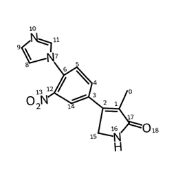 CC1=C(c2ccc(-n3ccnc3)c([N+](=O)[O-])c2)CNC1=O